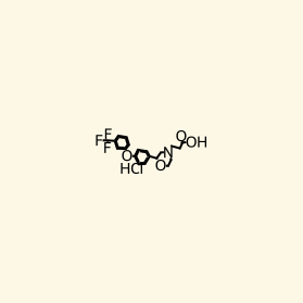 Cl.O=C(O)CCN1CCOC(c2ccc(Oc3cccc(C(F)(F)F)c3)cc2)C1